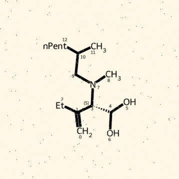 C=C(CC)[C@@H](C(O)O)N(C)CC(C)CCCCC